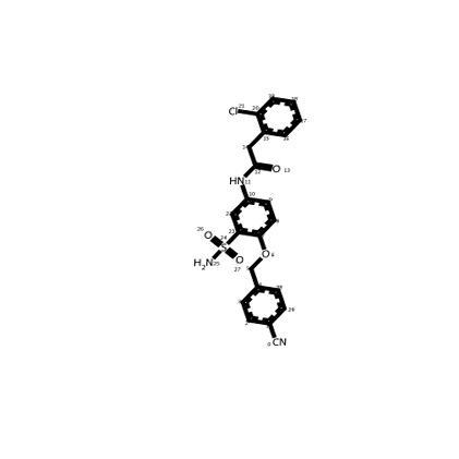 N#Cc1ccc(COc2ccc(NC(=O)Cc3ccccc3Cl)cc2S(N)(=O)=O)cc1